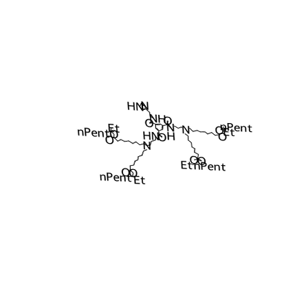 CCCCCC(CC)OC(=O)CCCCCCCCN(CCCCCCCCC(=O)OC(CC)CCCCC)CCCNC(=O)c1cc(C(=O)NCCCN(CCCCCCCCC(=O)OC(CC)CCCCC)CCCCCCCCC(=O)OC(CC)CCCCC)cc(C(=O)NCCc2c[nH]cn2)c1